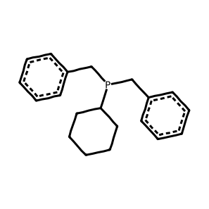 c1ccc(CP(Cc2ccccc2)C2CCCCC2)cc1